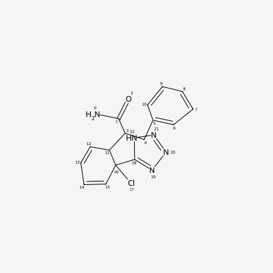 NC(=O)C(Cc1ccccc1)C1C=CC=CC1(Cl)c1nnn[nH]1